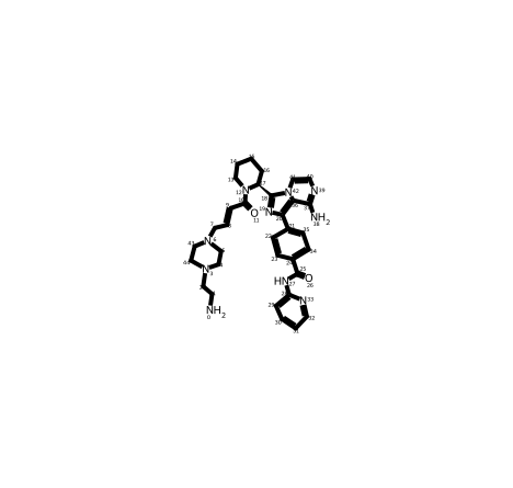 NCCN1CCN(C/C=C/C(=O)N2CCCC[C@H]2c2nc(-c3ccc(C(=O)Nc4ccccn4)cc3)c3c(N)nccn23)CC1